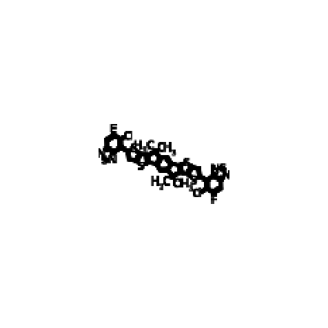 CC1(C)c2cc3c(cc2-c2sc4cc(-c5c(Cl)c(F)cc6nsnc56)sc4c21)C(C)(C)c1c-3sc2cc(-c3c(Cl)c(F)cc4nsnc34)sc12